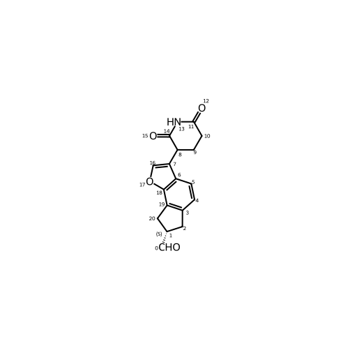 O=C[C@H]1Cc2ccc3c(C4CCC(=O)NC4=O)coc3c2C1